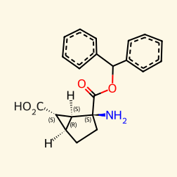 N[C@@]1(C(=O)OC(c2ccccc2)c2ccccc2)CC[C@H]2[C@H](C(=O)O)[C@H]21